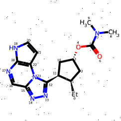 CC[C@@H]1C[C@@H](OC(=O)N(C)C)C[C@@H]1c1nnc2cnc3[nH]ccc3n12